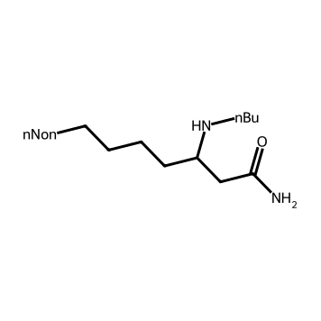 CCCCCCCCCCCCCC(CC(N)=O)NCCCC